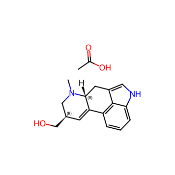 CC(=O)O.CN1C[C@H](CO)C=C2c3cccc4[nH]cc(c34)C[C@H]21